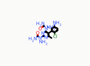 Cc1nc(N(N)C(N)=O)nc(N(N)C(N)=O)c1-c1cc(N)ccc1Cl